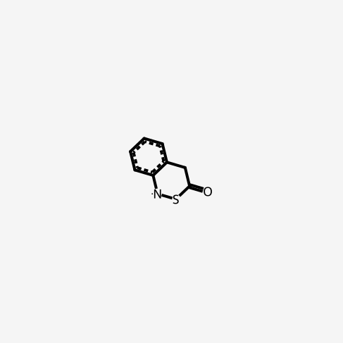 O=C1Cc2ccccc2[N]S1